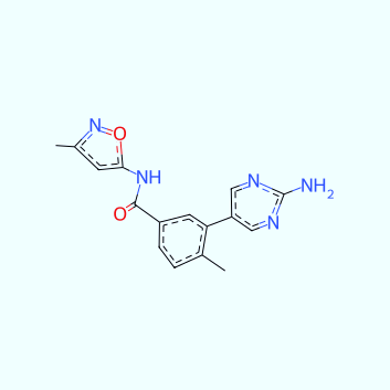 Cc1cc(NC(=O)c2ccc(C)c(-c3cnc(N)nc3)c2)on1